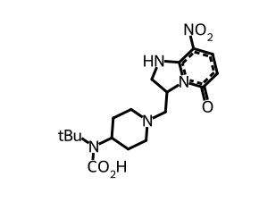 CC(C)(C)N(C(=O)O)C1CCN(CC2CNc3c([N+](=O)[O-])ccc(=O)n32)CC1